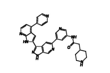 O=C(CC1CCNCC1)Nc1cncc(-c2cc3c(-c4cc5c(-c6ccncc6)ccnc5[nH]4)n[nH]c3cn2)c1